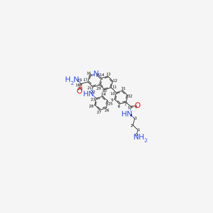 NCCCNC(=O)c1ccc(-c2ccc3ncc(C(N)=O)c(Nc4ccccc4)c3c2)cc1